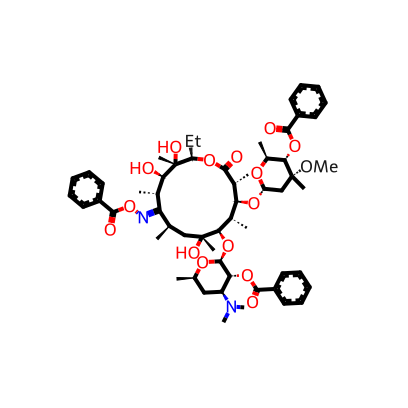 CC[C@H]1OC(=O)[C@H](C)[C@@H](O[C@H]2C[C@@](C)(OC)[C@@H](OC(=O)c3ccccc3)[C@H](C)O2)[C@H](C)[C@@H](O[C@@H]2O[C@H](C)C[C@H](N(C)C)[C@H]2OC(=O)c2ccccc2)[C@](C)(O)C[C@@H](C)/C(=N/OC(=O)c2ccccc2)[C@H](C)[C@@H](O)[C@]1(C)O